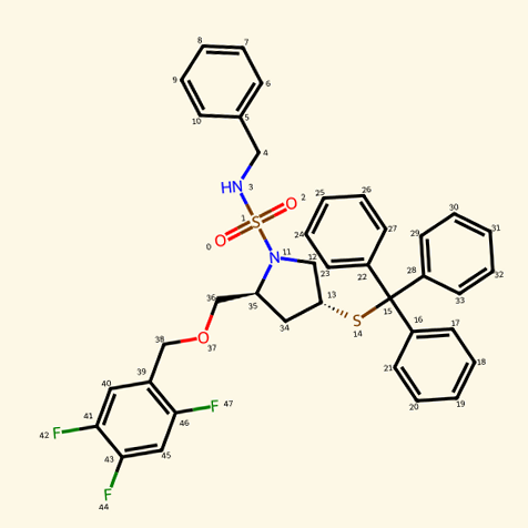 O=S(=O)(NCc1ccccc1)N1C[C@H](SC(c2ccccc2)(c2ccccc2)c2ccccc2)C[C@H]1COCc1cc(F)c(F)cc1F